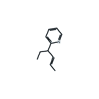 C/C=C/C(CC)c1ccccn1